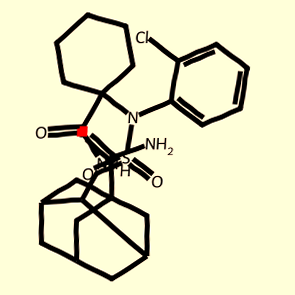 NC(=O)C12CC3CC(C1)C(NC(=O)C1(N(c4ccccc4Cl)[SH](=O)=O)CCCCC1)C(C3)C2